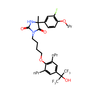 CCCc1cc(C(O)(C(F)(F)F)C(F)(F)F)cc(CCC)c1OCCCCN1C(=O)NC(C)(c2ccc(OC(C)C)c(F)c2)C1=O